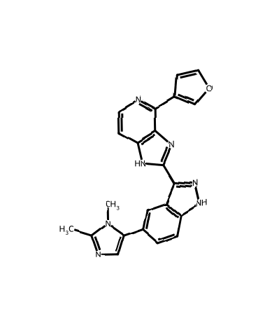 Cc1ncc(-c2ccc3[nH]nc(-c4nc5c(-c6ccoc6)nccc5[nH]4)c3c2)n1C